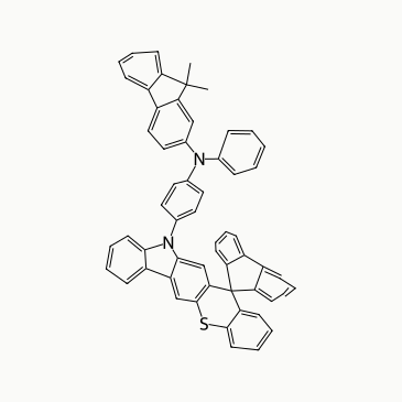 CC1(C)c2ccccc2-c2ccc(N(c3ccccc3)c3ccc(-n4c5ccccc5c5cc6c(cc54)C4(c5ccccc5S6)c5ccccc5-c5ccccc54)cc3)cc21